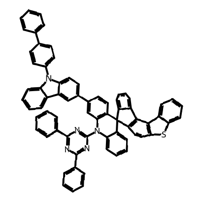 c1ccc(-c2ccc(-n3c4ccccc4c4cc(-c5ccc6c(c5)N(c5nc(-c7ccccc7)nc(-c7ccccc7)n5)c5ccccc5C65c6ccccc6-c6c5ccc5sc7ccccc7c65)ccc43)cc2)cc1